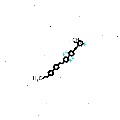 CCCCc1ccc(-c2ccc(CCc3cc(F)c(-c4c(F)cc(C#Cc5cc(F)ccc5CC)cc4F)c(F)c3)cc2)cc1